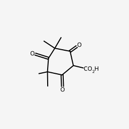 CC1(C)C(=O)C(C(=O)O)C(=O)C(C)(C)C1=O